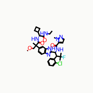 CCNC(=O)[C@H](NC(=O)C(C)(COC)c1ccc2nc(C(NC(=O)c3ccnn3C)C(c3ccccc3Cl)C(C)(C)F)[nH]c2c1)C1CCC1